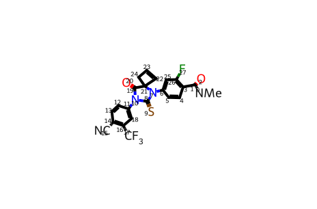 CNC(=O)c1ccc(N2C(=S)N(c3ccc(C#N)c(C(F)(F)F)c3)C(=O)C23C=CC3)cc1F